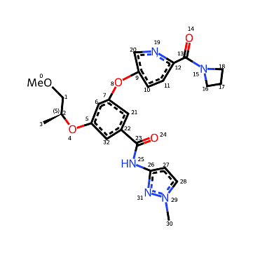 COC[C@H](C)Oc1cc(Oc2ccc(C(=O)N3CCC3)nc2)cc(C(=O)Nc2ccn(C)n2)c1